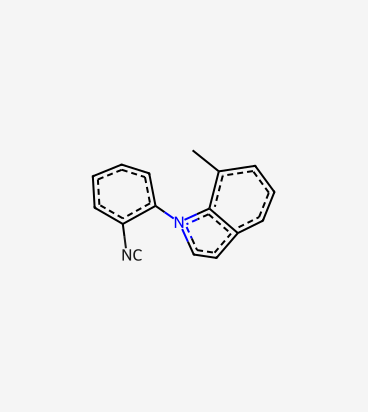 [C-]#[N+]c1ccccc1-n1ccc2cccc(C)c21